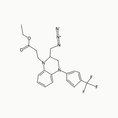 CCOC(=O)CCN1c2ccccc2N(c2ccc(C(F)(F)F)cc2)CC1CN=[N+]=[N-]